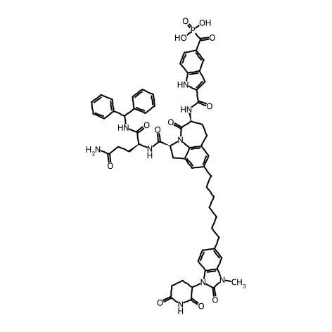 Cn1c(=O)n(C2CCC(=O)NC2=O)c2ccc(CCCCCCCc3cc4c5c(c3)C[C@@H](C(=O)N[C@@H](CCC(N)=O)C(=O)NC(c3ccccc3)c3ccccc3)N5C(=O)[C@@H](NC(=O)c3cc5cc(C(=O)P(=O)(O)O)ccc5[nH]3)CC4)cc21